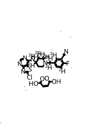 O=C(O)/C=C\C(=O)O.[2H]c1cc(C([2H])([2H])N2CCC([2H])(N([2H])c3ncnc4nc(Cl)sc34)C([2H])([2H])C2([2H])[2H])c([2H])c(C#N)c1F